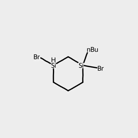 CCCC[Si]1(Br)CCC[SiH](Br)C1